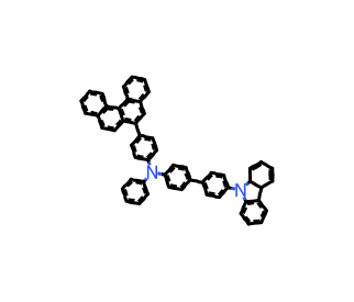 C1=CC2c3ccccc3N(c3ccc(-c4ccc(N(c5ccccc5)c5ccc(-c6cc7ccccc7c7c6ccc6ccccc67)cc5)cc4)cc3)C2C=C1